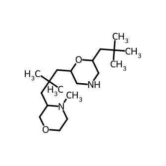 CN1CCOCC1CC(C)(C)CC1CNCC(CC(C)(C)C)O1